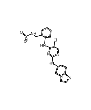 O=[SH](=O)NCc1ccccc1Nc1nc(Nc2ccc3nccn3c2)ncc1Cl